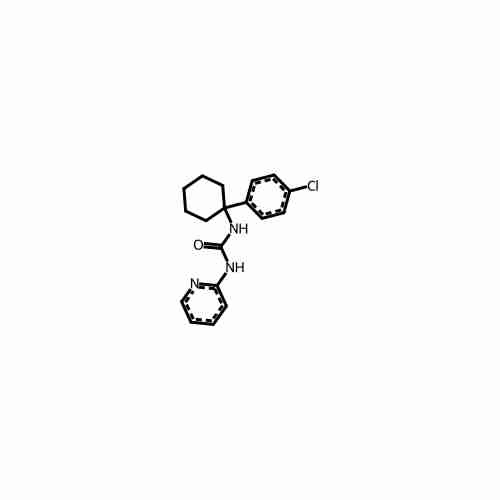 O=C(Nc1ccccn1)NC1(c2ccc(Cl)cc2)CCCCC1